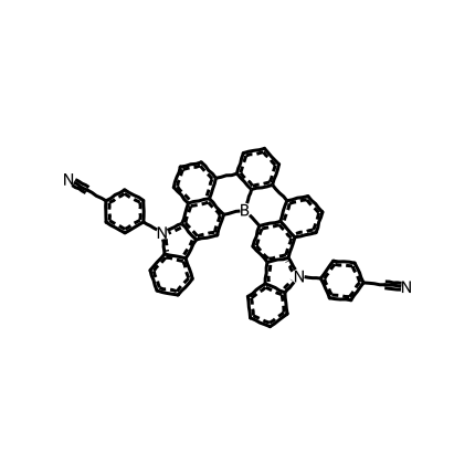 N#Cc1ccc(-n2c3ccccc3c3cc4c5c(cccc5c32)-c2cccc3c2B4c2cc4c5ccccc5n(-c5ccc(C#N)cc5)c4c4cccc-3c24)cc1